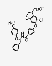 O=C(NC(Cc1ccccc1)Oc1ccc(Cl)cc1)c1ccc(Oc2cc3c(cc2Cl)C(C(=O)[O-])CCO3)cc1.[Na+]